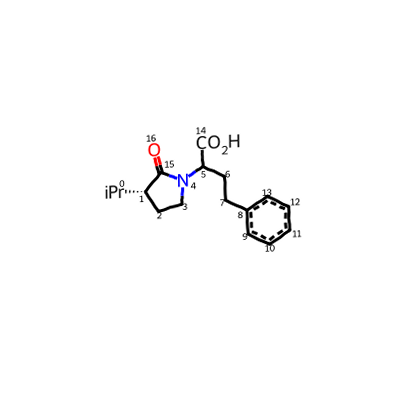 CC(C)[C@H]1CCN(C(CCc2ccccc2)C(=O)O)C1=O